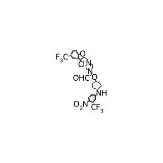 O=CC(OC1CCC(Nc2ccc([N+](=O)[O-])c(C(F)(F)F)c2)CC1)N1CCN(Cc2oc3ccc(C(F)(F)F)cc3c2Cl)CC1